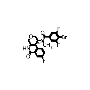 CN(C(=O)c1cc(F)c(Br)c(F)c1)[C@@H]1COCc2[nH]c(=O)c3cc(F)ccc3c21